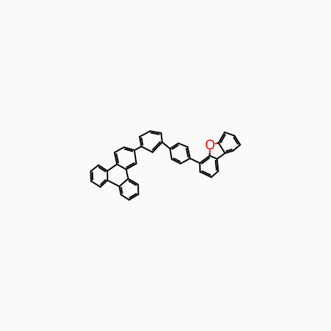 c1cc(-c2ccc(-c3cccc4c3oc3ccccc34)cc2)cc(-c2ccc3c4ccccc4c4ccccc4c3c2)c1